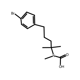 CN(C(=O)O)C(C)(C)CCCc1ccc(Br)cc1